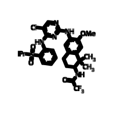 COc1cc2c(cc1Nc1ncc(Cl)c(Nc3ccccc3S(=O)(=O)C(C)C)n1)CCC(NC(=O)C(F)(F)F)C2(C)C